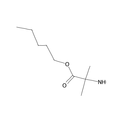 CCCCCOC(=O)C(C)(C)[NH]